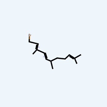 CC(C)=CCCC(C)/C=C/C(C)=C/CBr